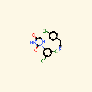 N#CCc1ccc(Cl)cc1.O=c1cnn(-c2cc(Cl)cc(Cl)c2)c(=O)[nH]1